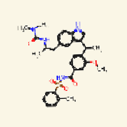 COc1cc(C(=O)NS(=O)(=O)c2ccccc2C)ccc1C(C)c1c[nH]c2ccc(CC(C)NC(=O)N(C)C)cc12